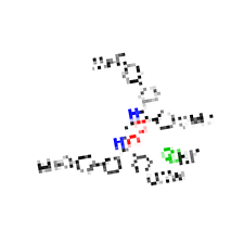 COc1ccc(-c2cccc([C@H]3N=C(CC4=N[C@H](c5cccc(-c6ccc(OC)cc6)c5)C(c5ccc(OC)cc5)O4)OC3c3ccc(OC)cc3)c2)cc1.[Cl-].[Cl-].[Ni+2]